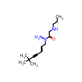 CCCNCC(=O)N(N)CC=CC#CC(C)(C)C